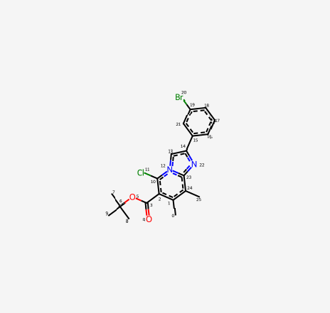 Cc1c(C(=O)OC(C)(C)C)c(Cl)n2cc(-c3cccc(Br)c3)nc2c1C